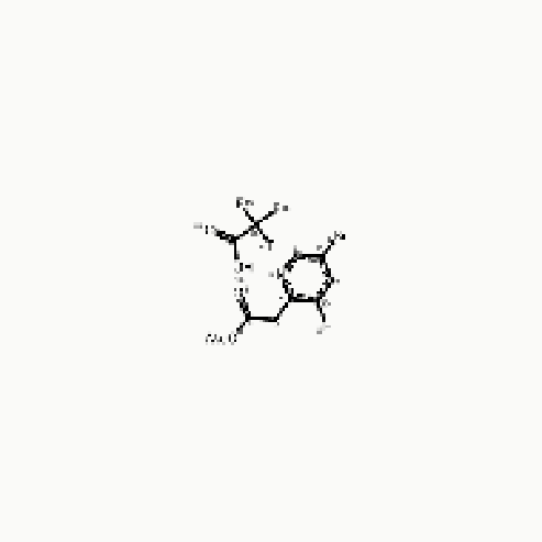 COC(=O)Cc1ncc(Br)cc1F.O=C(O)C(F)(F)F